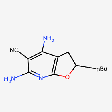 CCCCC1Cc2c(nc(N)c(C#N)c2N)O1